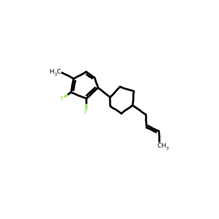 C/C=C/CC1CCC(c2ccc(C)c(F)c2F)CC1